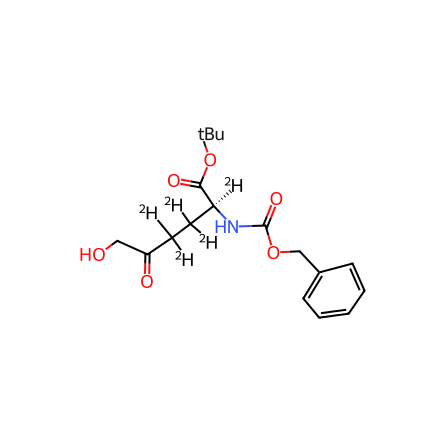 [2H]C([2H])(C(=O)CO)C([2H])([2H])[C@]([2H])(NC(=O)OCc1ccccc1)C(=O)OC(C)(C)C